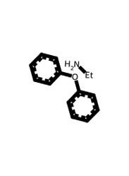 CCN.c1ccc(Oc2ccccc2)cc1